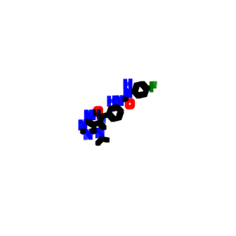 CC(C)n1cc(C(=O)c2cccc(NC(=O)Nc3ccc(F)cc3)c2)c2c(N)ncnc21